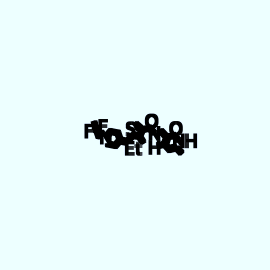 CCC(=C1CCN(CC(C)(F)F)CC1)c1scc(C(=O)NCc2c(C)cc(C)[nH]c2=O)c1C